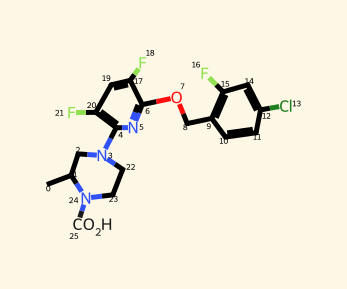 CC1CN(c2nc(OCc3ccc(Cl)cc3F)c(F)cc2F)CCN1C(=O)O